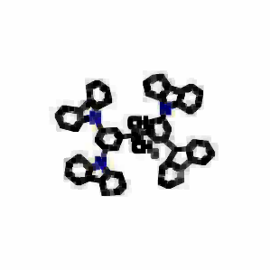 C[Si](C)(c1cc(C2c3ccccc3-c3ccccc32)cc(-n2c3ccccc3c3ccccc32)c1)c1cc(-n2c3ccccc3c3ccccc32)cc(-n2c3ccccc3c3ccccc32)c1